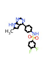 Cc1cc2c(-c3ccc(NS(=O)(=O)c4ccc(F)c(F)c4)cc3)ncnc2[nH]1